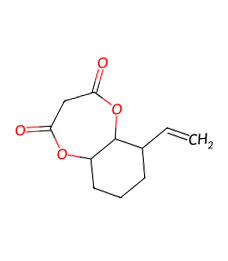 C=CC1CCCC2OC(=O)CC(=O)OC12